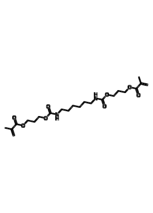 C=C(C)C(=O)OCCCOC(=O)NCCCCCCNC(=O)OCCCOC(=O)C(=C)C